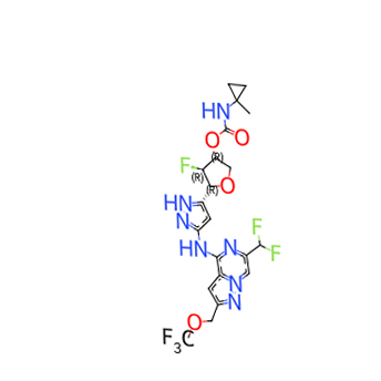 CC1(NC(=O)O[C@@H]2CO[C@H](c3cc(Nc4nc(C(F)F)cn5nc(COC(F)(F)F)cc45)n[nH]3)[C@H]2F)CC1